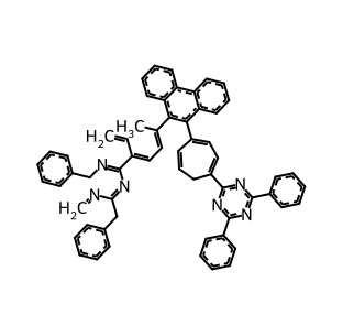 C=CC(=C\C=C(/C)c1c(C2=CC=C(c3nc(-c4ccccc4)nc(-c4ccccc4)n3)CC=C2)c2ccccc2c2ccccc12)/C(/N=C(/Cc1ccccc1)N=C)=N/Cc1ccccc1